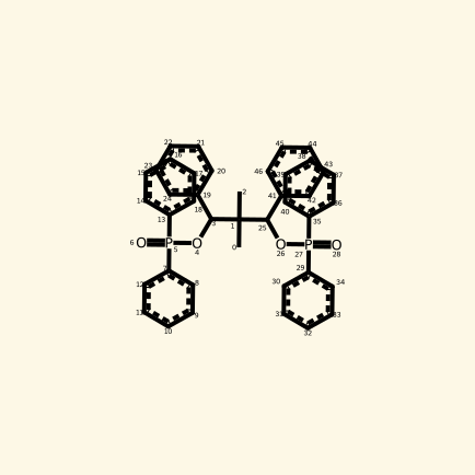 CC(C)(C(OP(=O)(c1ccccc1)c1ccccc1)c1ccccc1)C(OP(=O)(c1ccccc1)c1ccccc1)c1ccccc1